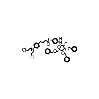 O=C(CCCc1ccc(N(CCCl)CCCl)cc1)Oc1ccc(N[C@@H]2O[C@H](COCc3ccccc3)[C@@H](OCc3ccccc3)[C@H](OCc3ccccc3)[C@@H]2F)cc1